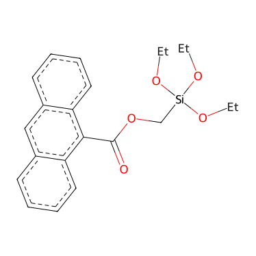 CCO[Si](COC(=O)c1c2ccccc2cc2ccccc12)(OCC)OCC